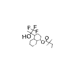 CCC(C)(C)C(=O)OC1CCC(C(C)(O)C(F)(F)F)C2CCCCC12